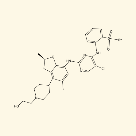 Cc1cc(Nc2ncc(Cl)c(Nc3ccccc3S(=O)(=O)C(C)C)n2)c2c(c1C1CCN(CCO)CC1)C[C@@H](C)O2